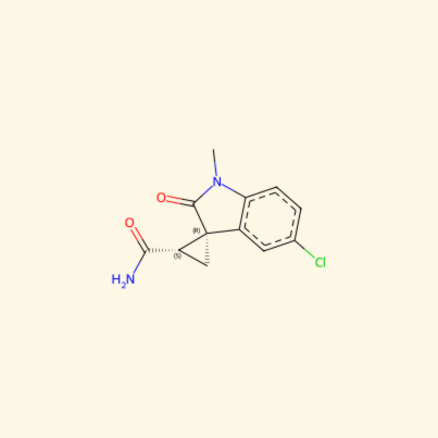 CN1C(=O)[C@@]2(C[C@@H]2C(N)=O)c2cc(Cl)ccc21